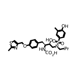 Cc1nc(COc2ccc(C[C@H](NC(=O)O)[C@@H](O)CN(CC(C)C)S(=O)(=O)c3ccc(O)c(C)c3)cc2)cs1